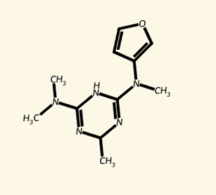 CC1N=C(N(C)C)NC(N(C)c2ccoc2)=N1